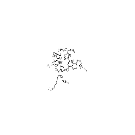 C=CCCCCCC(OCC)C(=O)N1C[C@H](Oc2cc(-c3nc(C(C)C)cs3)nc3c(C)c(OC)ccc23)C[C@H]1C(=O)N[C@]1(C(=O)NS(=O)(=O)C2CC2)C[C@H]1C=C